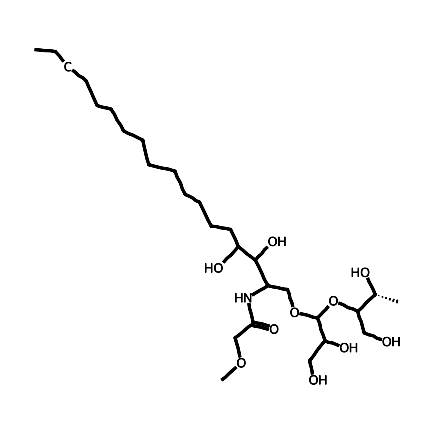 CCCCCCCCCCCCCCC(O)C(O)C(COC(OC(CO)[C@@H](C)O)C(O)CO)NC(=O)COC